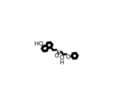 [O-][S+](CCc1cccc2c(O)cccc12)CC(O)COc1ccccc1